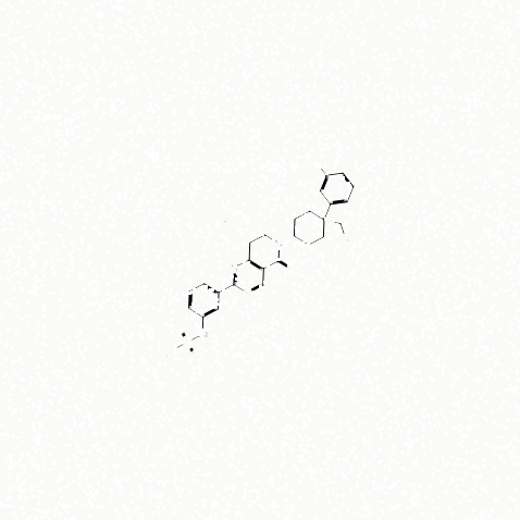 CS(=O)(=O)Nc1cccc(-c2ncc3c(n2)CCN([C@H]2CC[C@@](CN)(c4cccc(Cl)c4)CC2)C3=O)c1.Cl